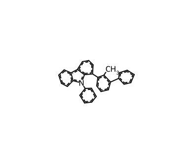 Cc1c(-c2ccccc2)cccc1-c1cccc2c3ccccc3n(-c3ccccc3)c12